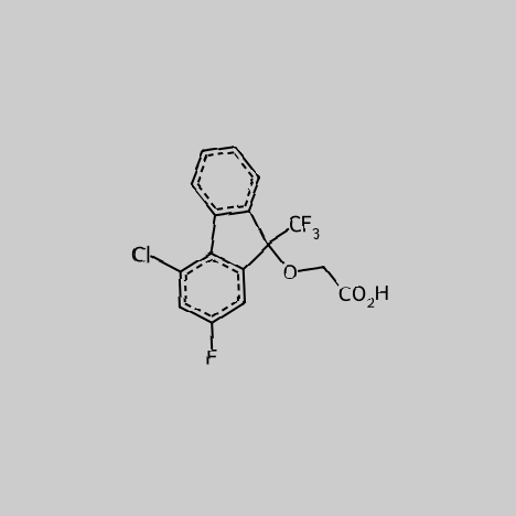 O=C(O)COC1(C(F)(F)F)c2ccccc2-c2c(Cl)cc(F)cc21